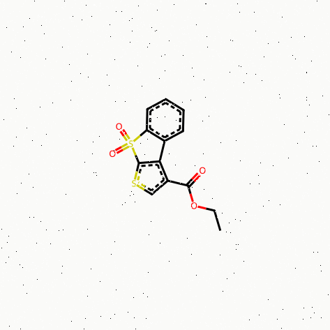 CCOC(=O)c1csc2c1-c1ccccc1S2(=O)=O